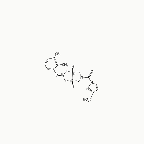 Cc1c(O[C@H]2C[C@@H]3CN(C(=O)n4ccc(C(=O)O)n4)C[C@@H]3C2)cccc1C(F)(F)F